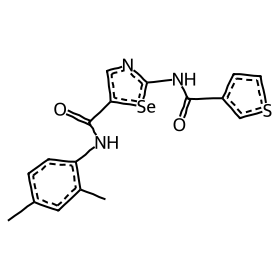 Cc1ccc(NC(=O)c2cnc(NC(=O)c3ccsc3)[se]2)c(C)c1